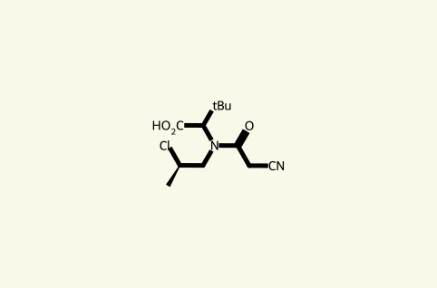 C[C@@H](Cl)CN(C(=O)CC#N)C(C(=O)O)C(C)(C)C